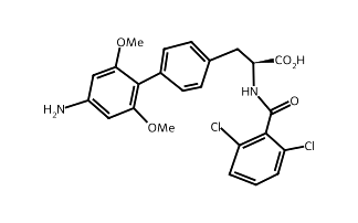 COc1cc(N)cc(OC)c1-c1ccc(C[C@H](NC(=O)c2c(Cl)cccc2Cl)C(=O)O)cc1